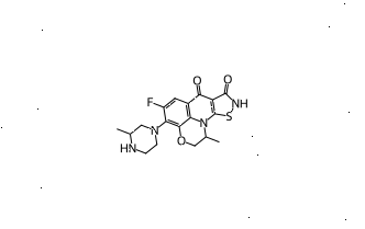 CC1CN(c2c(F)cc3c(=O)c4c(=O)[nH]sc4n4c3c2OCC4C)CCN1